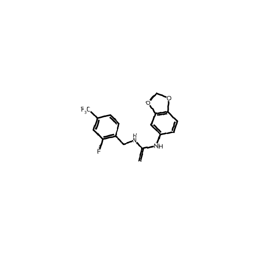 C=C(NCc1ccc(C(F)(F)F)cc1F)Nc1ccc2c(c1)OCO2